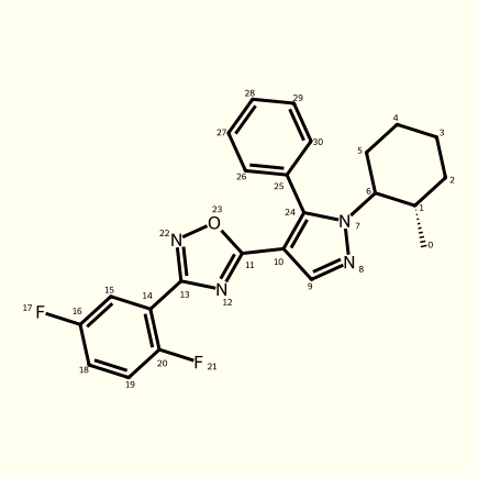 C[C@H]1CCCCC1n1ncc(-c2nc(-c3cc(F)ccc3F)no2)c1-c1ccccc1